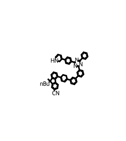 CCCC[C@]1(C)c2cc(C#N)ccc2-c2c(C3=CC=C(c4cccc(-c5cccc(-c6nc(-c7ccccc7)nc(-c7ccc(C8=CC=CNC8)cc7)n6)c5)c4)CC3)cccc21